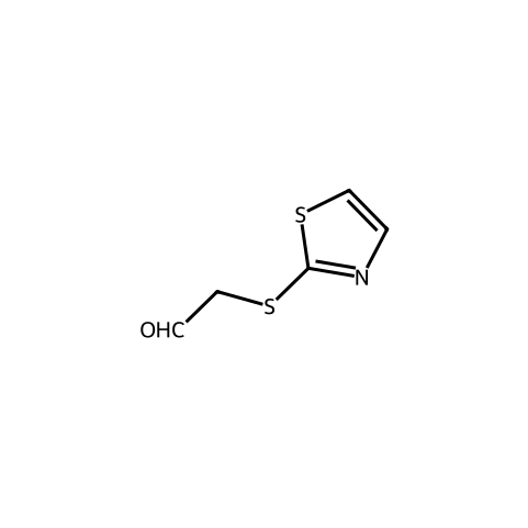 O=CCSc1nccs1